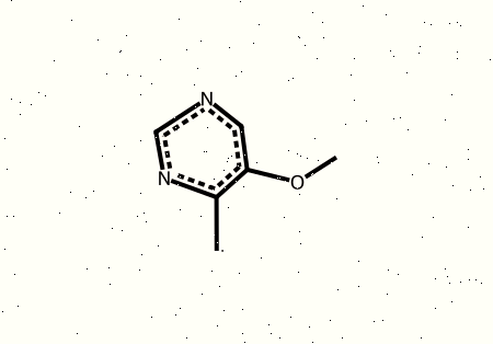 [CH2]c1ncncc1OC